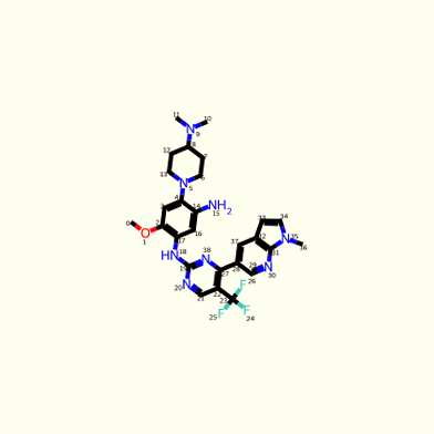 COc1cc(N2CCC(N(C)C)CC2)c(N)cc1Nc1ncc(C(F)(F)F)c(-c2cnc3c(ccn3C)c2)n1